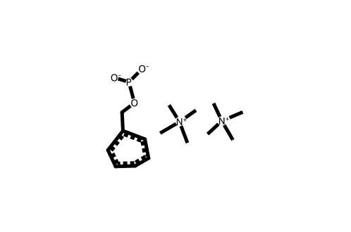 C[N+](C)(C)C.C[N+](C)(C)C.[O-]P([O-])OCc1ccccc1